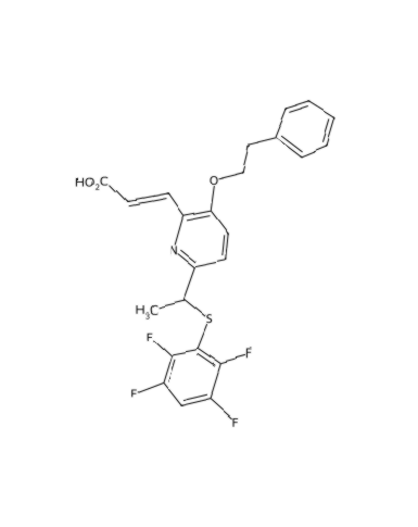 CC(Sc1c(F)c(F)cc(F)c1F)c1ccc(OCCc2ccccc2)c(C=CC(=O)O)n1